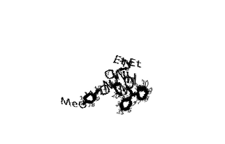 CCN(CC)CCNC(=O)[C@@H]1C(=NOCc2ccc(OC)cc2)CCN1C(=O)C(c1ccccc1)c1ccccc1